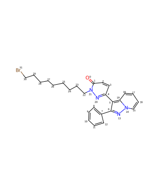 O=c1ccc(-c2c(-c3ccccc3)nn3ccccc23)nn1CCCCCCCCCBr